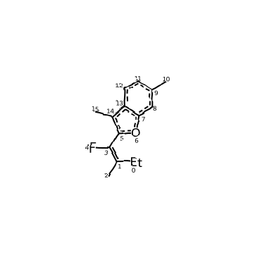 CC/C(C)=C(/F)c1oc2cc(C)ccc2c1C